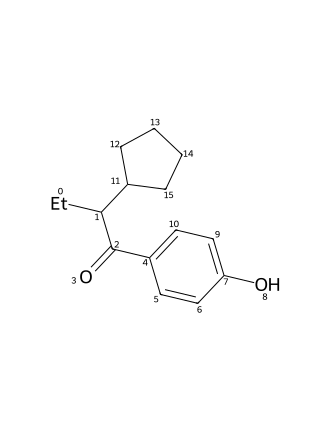 CCC(C(=O)c1ccc(O)cc1)C1CCCC1